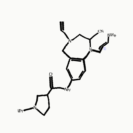 C=CN1Cc2cc(NC(=O)C3CCN(C(C)C)C3)ccc2N(/C=C\NC)C(C#N)C1